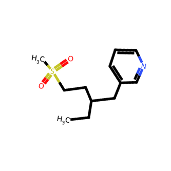 CCC(CCS(C)(=O)=O)Cc1cccnc1